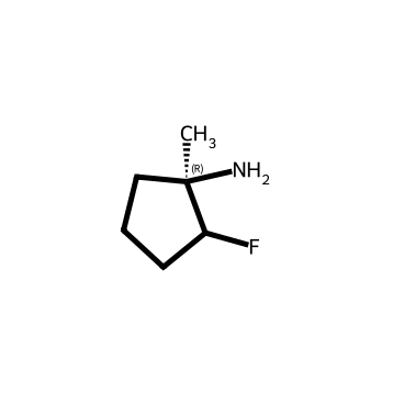 C[C@@]1(N)CCCC1F